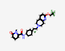 Cn1c(C(=O)N[C@H]2CC[C@](F)(CCN3CCc4ccc(OCC(F)(F)F)nc4CC3)CC2)cccc1=O